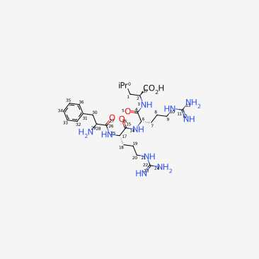 CC(C)C[C@H](NC(=O)[C@H](CCCNC(=N)N)NC(=O)[C@H](CCCNC(=N)N)NC(=O)[C@@H](N)Cc1ccccc1)C(=O)O